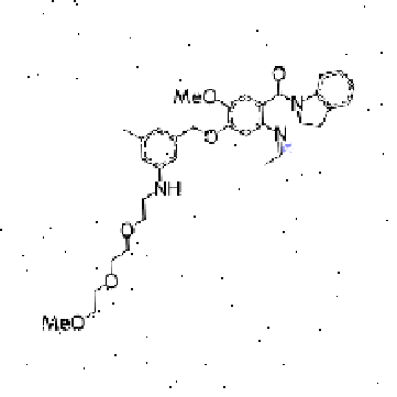 C/C=N\c1cc(OCc2cc(C)cc(NCCOCCOCCOC)c2)c(OC)cc1C(=O)N1CCc2ccccc21